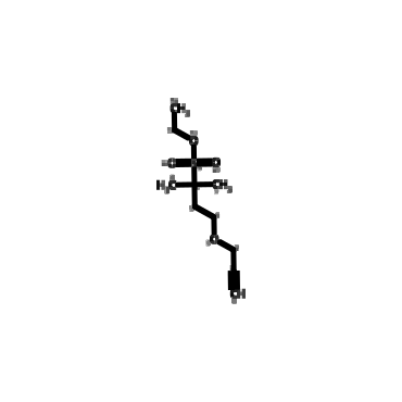 C#CCOCCC(C)(C)S(=O)(=O)OCC